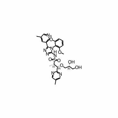 COc1cccc(OC)c1-n1c(NS(=O)(=O)[C@@H](C)[C@H](OC[C@H](O)CO)c2ncc(C)cn2)nnc1-c1cncc(C)c1